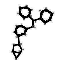 c1ccc(C(=Nc2cccc(N3CC4CC4C3)n2)c2ccccc2)cc1